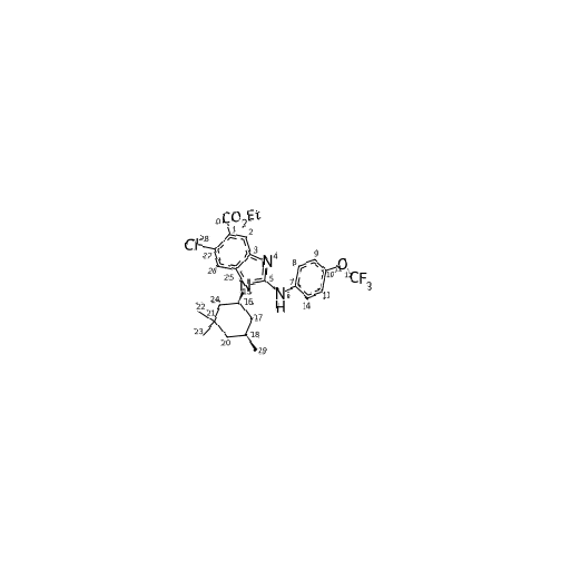 CCOC(=O)c1cc2nc(Nc3ccc(OC(F)(F)F)cc3)n([C@H]3C[C@@H](C)CC(C)(C)C3)c2cc1Cl